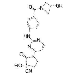 N#C[C@@]1(O)CCN(c2ccnc(Nc3ccc(C(=O)N4CC(O)C4)cc3)n2)C1=O